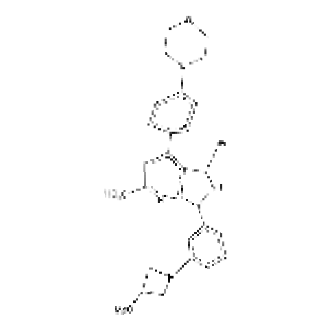 COC1CN(c2cccc(N3NC(C(C)C)c4c(-c5ccc(N6CCOCC6)cc5)cc(C(=O)O)nc43)c2)C1